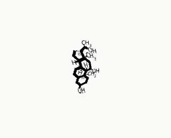 C[C@H](O)[C@H]1CC[C@H]2[C@@H]3CCC4CC(O)CC[C@]4(C)[C@H]3[C@@H](O)C[C@]12C